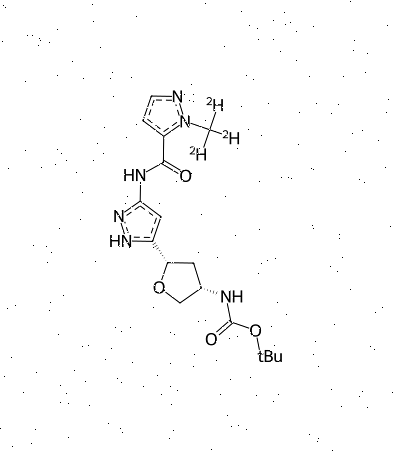 [2H]C([2H])([2H])n1nccc1C(=O)Nc1cc([C@@H]2C[C@H](NC(=O)OC(C)(C)C)CO2)[nH]n1